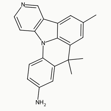 Cc1cc2c3c(c1)c1cnccc1n3-c1ccc(N)cc1C2(C)C